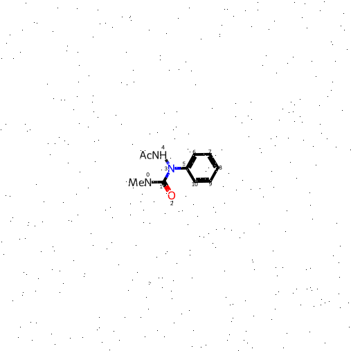 CNC(=O)N(NC(C)=O)c1ccccc1